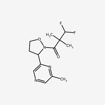 Cc1cncc(C2CCON2C(=O)C(C)(C)C(F)F)n1